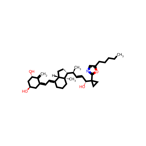 C=C1/C(=C\C=C2/CCC[C@]3(C)[C@@H]([C@@H](C)/C=C/[C@@H](O)C4(c5ncc(CCCCC)o5)CC4)CC[C@@H]23)C[C@@H](O)C[C@@H]1O